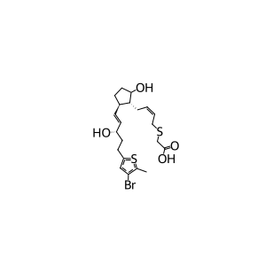 Cc1sc(CC[C@H](O)/C=C/[C@H]2CCC(O)[C@@H]2C/C=C\CSCC(=O)O)cc1Br